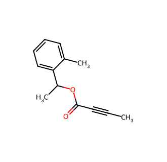 CC#CC(=O)OC(C)c1ccccc1C